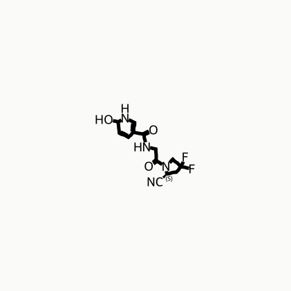 N#C[C@@H]1CC(F)(F)CN1C(=O)CNC(=O)C1=CNC(O)C=C1